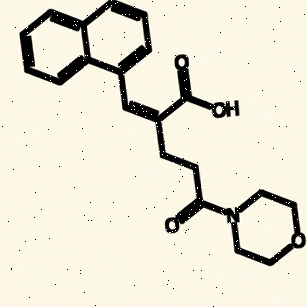 O=C(O)/C(=C\c1cccc2ccccc12)CCC(=O)N1CCOCC1